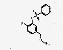 NOCc1ccc(Br)c(OS(=O)(=O)c2ccccc2)c1